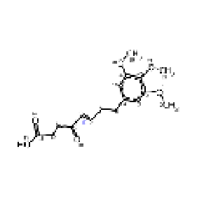 COc1cc(CC/C=C/C(=O)CCC(=O)O)cc(OC)c1OC